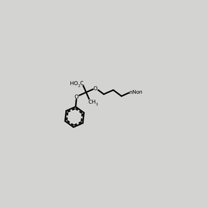 CCCCCCCCCCCCOC(C)(Oc1ccccc1)C(=O)O